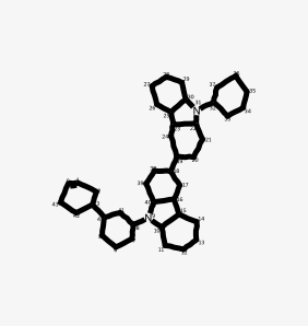 C1=CCC(C2CCCC(N3C4CCCCC4C4CC(C5CCC6C(C5)C5CCCCC5N6C5CCCCC5)CCC43)C2)CC1